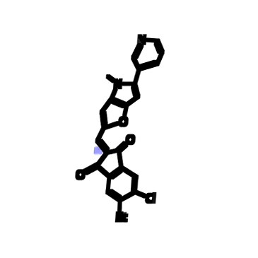 CCc1cc2c(cc1Cl)C(=O)/C(=C\c1cc3c(cc(-c4cccnc4)n3C)o1)C2=O